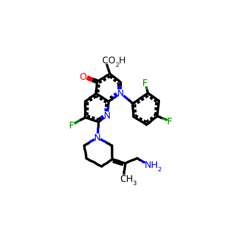 CC(CN)=C1CCCN(c2nc3c(cc2F)c(=O)c(C(=O)O)cn3-c2ccc(F)cc2F)C1